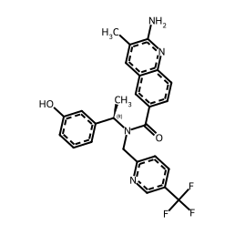 Cc1cc2cc(C(=O)N(Cc3ccc(C(F)(F)F)cn3)[C@H](C)c3cccc(O)c3)ccc2nc1N